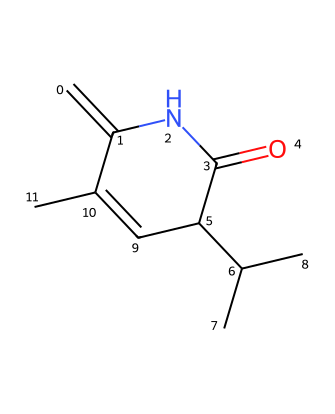 C=C1NC(=O)C(C(C)C)C=C1C